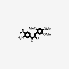 CC/C(=C\c1cc(OC)c(OC)cc1OC)C(=O)c1ccc(N(C)C)c(N)c1